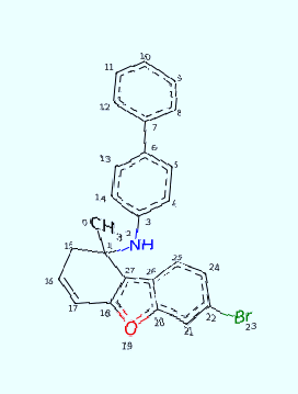 CC1(Nc2ccc(-c3ccccc3)cc2)CC=Cc2oc3cc(Br)ccc3c21